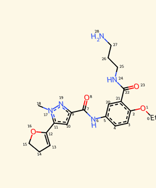 CCOc1ccc(NC(=O)c2cc(C3=CCCO3)n(C)n2)cc1C(=O)NCCCN